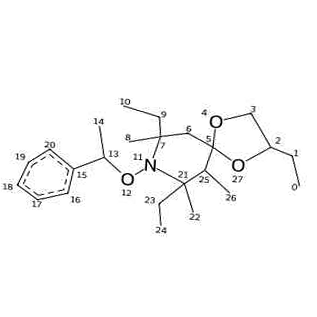 CCC1COC2(CC(C)(CC)N(OC(C)c3ccccc3)C(C)(CC)C2C)O1